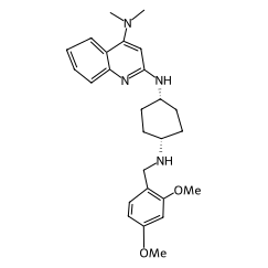 COc1ccc(CN[C@H]2CC[C@@H](Nc3cc(N(C)C)c4ccccc4n3)CC2)c(OC)c1